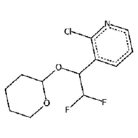 FC(F)C(OC1CCCCO1)c1cccnc1Cl